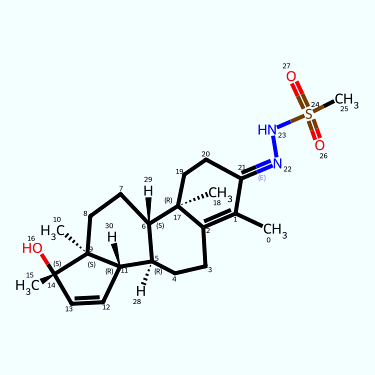 CC1=C2CC[C@@H]3[C@H](CC[C@@]4(C)[C@H]3C=C[C@]4(C)O)[C@@]2(C)CC/C1=N\NS(C)(=O)=O